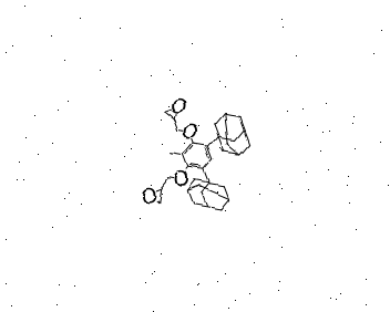 Cc1c(OCC2CO2)c(C23CC4CC(CC(C4)C2)C3)cc(C23CC4CC(CC(C4)C2)C3)c1OCC1CO1